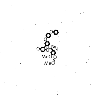 COCCOc1cc2ncnc(Nc3ccc(Oc4ccc(Oc5ccccc5)cc4)cc3C3=CC(=O)C=CC3=O)c2cc1OC